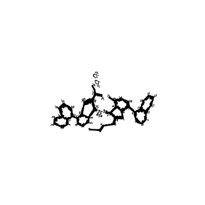 CCCCC1=Cc2c(-c3cccc4ccccc34)ccc(C)c2[CH]1[Zr+2][CH]1C(C(C)C)=Cc2c(-c3cccc4ccccc34)cccc21.[Cl-].[Cl-]